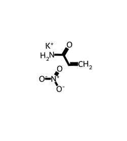 C=CC(N)=O.O=[N+]([O-])[O-].[K+]